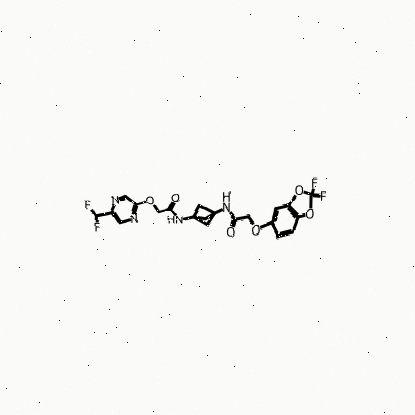 O=C(COc1ccc2c(c1)OC(F)(F)O2)NC12CC(NC(=O)COc3cnc(C(F)F)cn3)(C1)C2